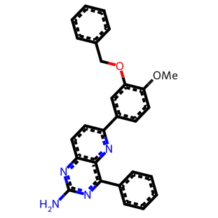 COc1ccc(-c2ccc3nc(N)nc(-c4ccccc4)c3n2)cc1OCc1ccccc1